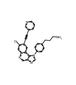 NCCCc1ccc(-n2cnc3cnc4cc(Cl)c(C#Cc5cccnc5)cc4c32)cc1